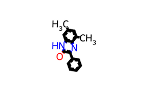 Cc1cc(C)c2nc(-c3ccccc3)c(=O)[nH]c2c1